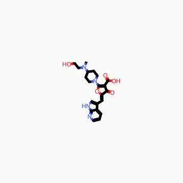 CN(CCO)C1CCN(C2=C(C(=O)O)C(=O)C(=Cc3c[nH]c4ncccc34)O2)CC1